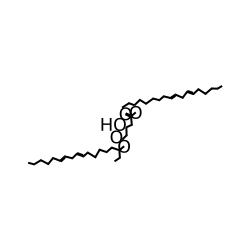 CCCCCC=CCC=CCCCCCC(CC)OC(=O)CC(O)CC(=O)OC(CC)CCCCCC=CCC=CCCCCC